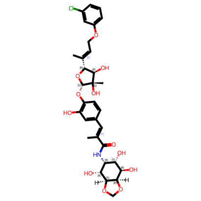 C/C(=C\c1ccc(O[C@@H]2O[C@H](/C(C)=C/COc3cccc(Cl)c3)[C@@H](O)[C@]2(C)O)c(O)c1)C(=O)N[C@@H]1[C@H](O)[C@@H](O)[C@H]2OCO[C@H]2[C@@H]1O